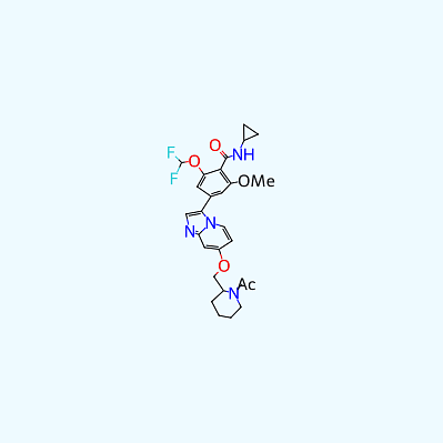 COc1cc(-c2cnc3cc(OCC4CCCCN4C(C)=O)ccn23)cc(OC(F)F)c1C(=O)NC1CC1